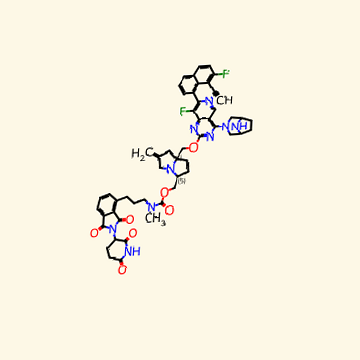 C#Cc1c(F)ccc2cccc(-c3ncc4c(N5CC6CCC(C5)N6)nc(OC[C@@]56CC[C@@H](COC(=O)N(C)CCCc7cccc8c7C(=O)N(C7CCC(=O)NC7=O)C8=O)N5CC(=C)C6)nc4c3F)c12